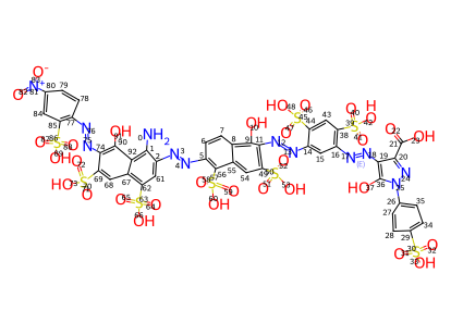 Nc1c(N=Nc2ccc3c(O)c(N=Nc4cc(/N=N/c5c(C(=O)O)nn(-c6ccc(S(=O)(=O)O)cc6)c5O)c(S(=O)(=O)O)cc4S(=O)(=O)O)c(S(=O)(=O)O)cc3c2S(=O)(=O)O)cc(S(=O)(=O)O)c2cc(S(=O)(=O)O)c(N=Nc3ccc([N+](=O)[O-])cc3S(=O)(=O)O)c(O)c12